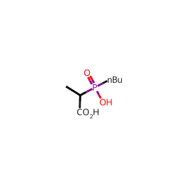 CCCCP(=O)(O)C(C)C(=O)O